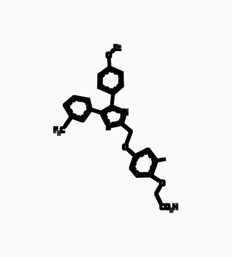 CCOc1ccc(-c2nc(COc3ccc(OCC(=O)O)c(C)c3)sc2-c2cccc(C(F)(F)F)c2)cc1